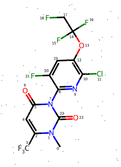 Cn1c(C(F)(F)F)cc(=O)n(-c2nc(Cl)c(OC(F)(F)CF)cc2F)c1=O